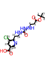 CC(C)(C)OC(=O)CCNNC(=O)NCCc1ncc(C(=O)O)cc1Cl